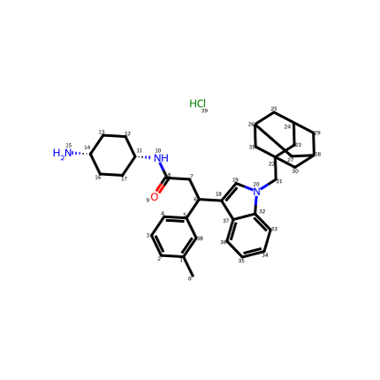 Cc1cccc(C(CC(=O)N[C@H]2CC[C@@H](N)CC2)c2cn(CC34CC5CC(CC(C5)C3)C4)c3ccccc23)c1.Cl